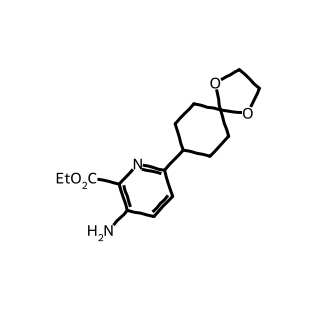 CCOC(=O)c1nc(C2CCC3(CC2)OCCO3)ccc1N